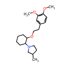 COc1ccc(CCOC2CCCCC2N2CCC(C)C2)cc1OC